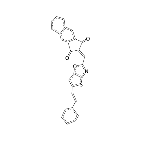 O=C1C(=Cc2nc3sc(/C=C/c4ccccc4)cc3o2)C(=O)c2cc3ccccc3cc21